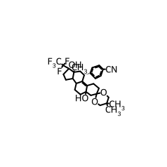 CC1(C)COC2(CCC3=C4C(CCC3(O)C2)C2CCC(O)(C(F)(F)C(F)(F)F)C2(C)C[C@@H]4c2ccc(C#N)cc2)OC1